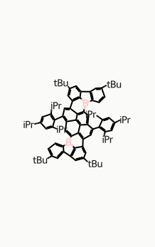 CC(C)c1cc(C(C)C)c(-c2cc3c4c(cc5c(-c6c(C(C)C)cc(C(C)C)cc6C(C)C)cc6c7c(cc2c4c57)B2c4ccc(C(C)(C)C)cc4-c4cc(C(C)(C)C)cc-6c42)B2c4ccc(C(C)(C)C)cc4-c4cc(C(C)(C)C)cc-3c42)c(C(C)C)c1